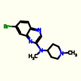 CN1CCC(N(C)c2cnc3ccc(Br)cc3n2)CC1